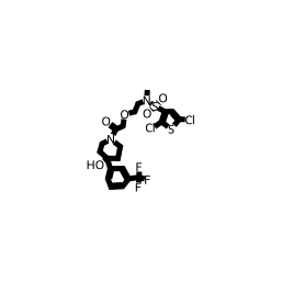 CN(CCOCC(=O)N1CCC(O)(c2cccc(C(F)(F)F)c2)CC1)S(=O)(=O)c1cc(Cl)sc1Cl